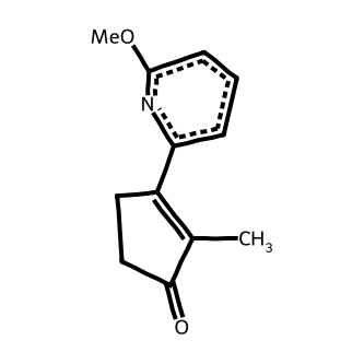 COc1cccc(C2=C(C)C(=O)CC2)n1